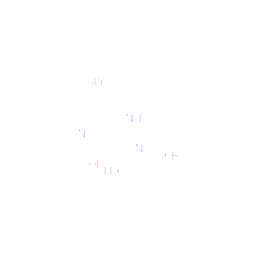 CCCC(=NO)NN(C)C